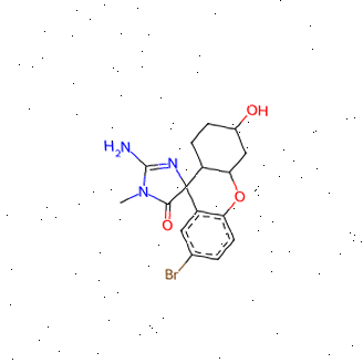 CN1C(=O)C2(N=C1N)c1cc(Br)ccc1OC1CC(O)CCC12